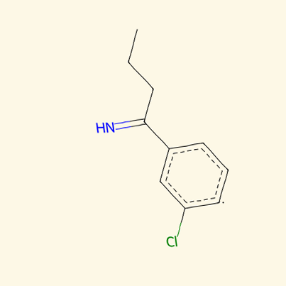 CCCC(=N)c1cc[c]c(Cl)c1